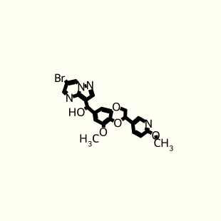 COc1ccc(C2COc3cc(C(O)c4cnn5cc(Br)cnc45)cc(OC)c3O2)cn1